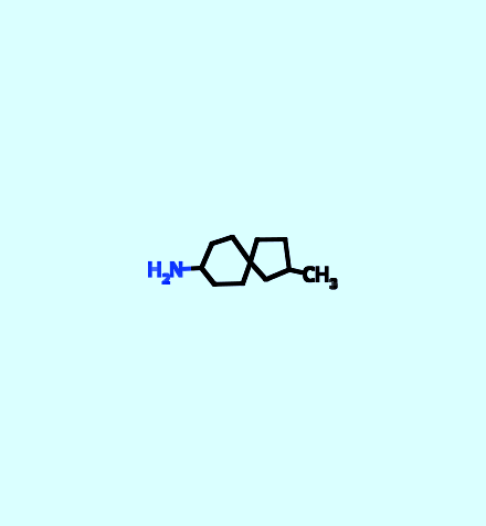 CC1CCC2(CCC(N)CC2)C1